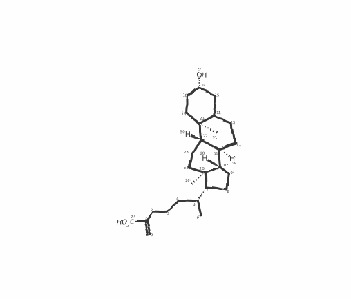 C=C(CCCC(C)[C@H]1CC[C@H]2[C@@H]3CCC4C[C@@H](O)CC[C@]4(C)[C@H]3CC[C@]12C)C(=O)O